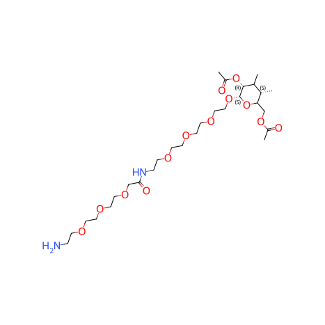 CC(=O)OCC1O[C@H](OCCOCCOCCOCCNC(=O)COCCOCCOCCN)[C@H](OC(C)=O)C(C)[C@@H]1C